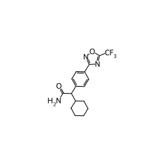 NC(=O)C(c1ccc(-c2noc(C(F)(F)F)n2)cc1)C1CCCCC1